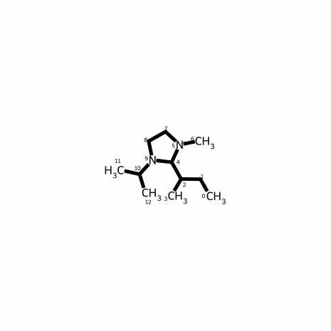 CCC(C)C1N(C)CCN1C(C)C